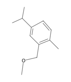 COCc1cc(C(C)C)ccc1C